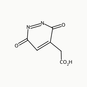 O=C(O)CC1=CC(=O)N=NC1=O